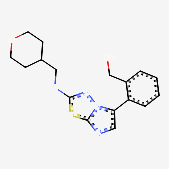 OCc1ccccc1-c1cnc2sc(NCC3CCOCC3)nn12